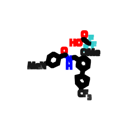 CNC1CCC(C(=O)NCc2cc(-c3ccc(C(F)(F)F)cc3)ccc2OC)CC1.O=C(O)C(F)(F)F